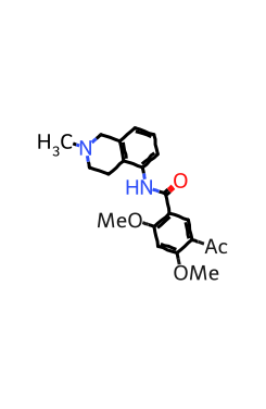 COc1cc(OC)c(C(=O)Nc2cccc3c2CCN(C)C3)cc1C(C)=O